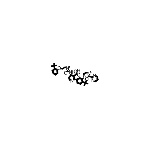 CN(CCOc1ccccc1C(C)(C)C)C(=O)Nc1ccnc(-c2ccc(C(C)(C)C)c(OCCN(C)C(=O)c3ncccn3)c2)c1C(=O)O